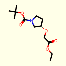 CCOC(=O)CO[C@H]1CCN(C(=O)OC(C)(C)C)C1